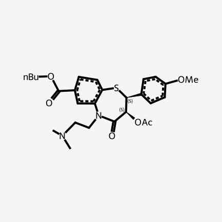 CCCCOC(=O)c1ccc2c(c1)N(CCN(C)C)C(=O)[C@H](OC(C)=O)[C@H](c1ccc(OC)cc1)S2